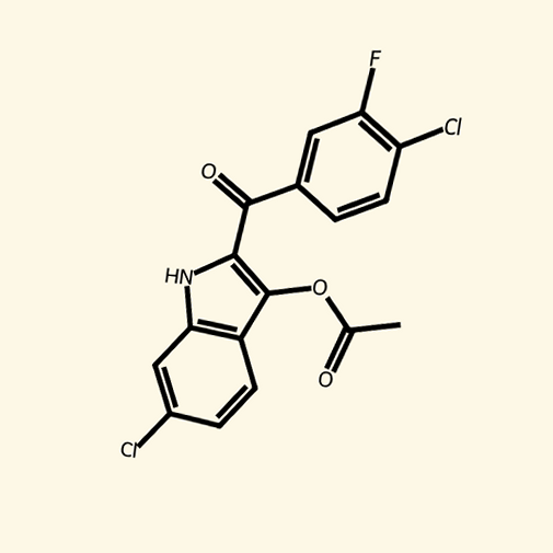 CC(=O)Oc1c(C(=O)c2ccc(Cl)c(F)c2)[nH]c2cc(Cl)ccc12